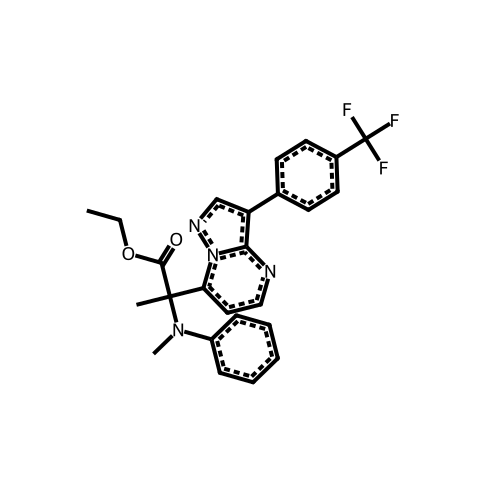 CCOC(=O)C(C)(c1ccnc2c(-c3ccc(C(F)(F)F)cc3)cnn12)N(C)c1ccccc1